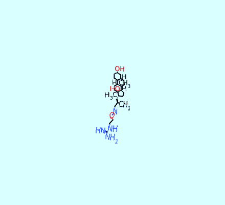 CC(/C=N/OCCNC(=N)N)=C\[C@H]1CC[C@]2(O)[C@@H]3CC[C@@H]4C[C@@H](O)CC[C@]4(C)[C@H]3CC[C@]12C